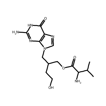 CC(C)C(N)C(=O)OCC(CCO)Cn1cnc2c(=O)[nH]c(N)nc21